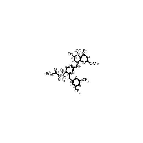 CCOC(=O)N1c2ccc(OC)nc2[C@@H](Nc2ncc(S(=O)(=O)N(C)C(=O)OC(C)(C)C)c(Cc3cc(C(F)(F)F)cc(C(F)(F)F)c3)n2)C[C@H]1CC